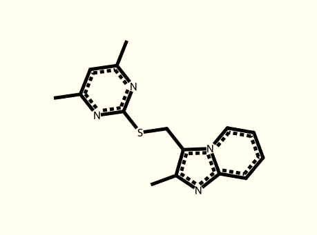 Cc1cc(C)nc(SCc2c(C)nc3ccccn23)n1